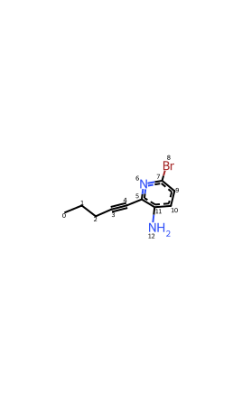 CCCC#Cc1nc(Br)ccc1N